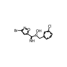 N=C(c1cc(Br)no1)N(O)Cc1cccc(Cl)c1